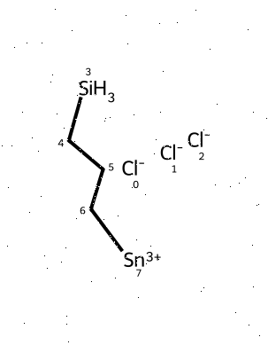 [Cl-].[Cl-].[Cl-].[SiH3]CC[CH2][Sn+3]